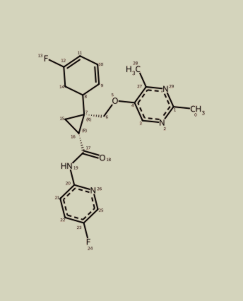 Cc1ncc(OC[C@@]2(C3C=CC=C(F)C3)C[C@H]2C(=O)Nc2ccc(F)cn2)c(C)n1